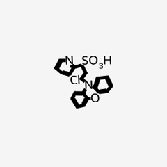 O=S(=O)(O)C(CCN1c2ccccc2Oc2ccccc21)c1ncccc1Cl